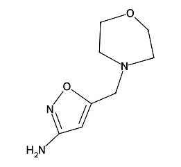 Nc1cc(CN2CCOCC2)on1